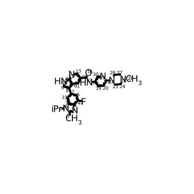 Cc1nc2c(F)cc(-c3c[nH]c4ncc(C(=O)Nc5ccc(N6CCN(C)CC6)nc5)cc34)cc2n1C(C)C